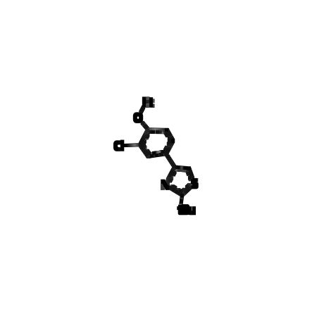 CCOc1ccc(-c2csc(C(C)(C)C)n2)cc1Cl